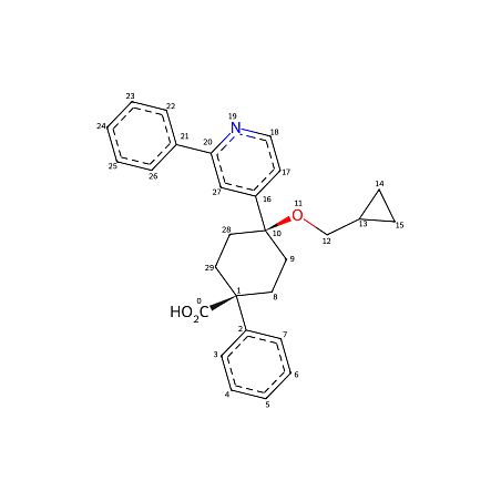 O=C(O)[C@]1(c2ccccc2)CC[C@@](OCC2CC2)(c2ccnc(-c3ccccc3)c2)CC1